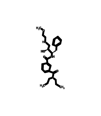 CCCN(CCC)C(=O)c1cccc(C(=O)N[C@@H](Cc2ccccc2)[C@H](O)CNCCOC)c1